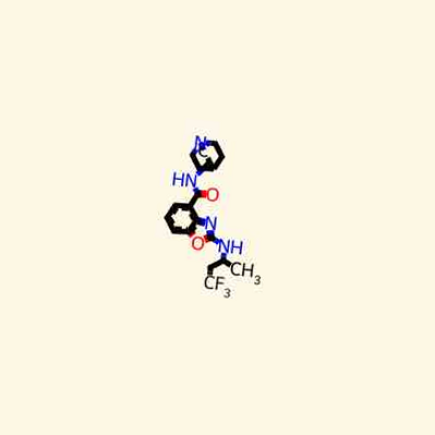 CC(CC(F)(F)F)Nc1nc2c(C(=O)NC3CN4CCC3CC4)cccc2o1